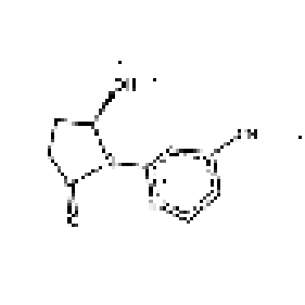 N#Cc1ccnc(N2C(=O)CC[C@H]2O)c1